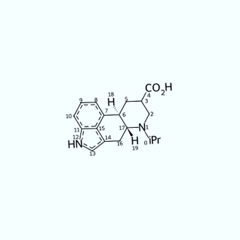 CC(C)N1CC(C(=O)O)C[C@@H]2c3cccc4[nH]cc(c34)C[C@H]21